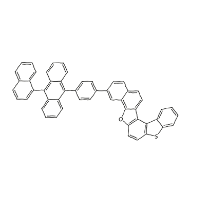 c1ccc2c(-c3c4ccccc4c(-c4ccc(-c5ccc6ccc7c(oc8ccc9sc%10ccccc%10c9c87)c6c5)cc4)c4ccccc34)cccc2c1